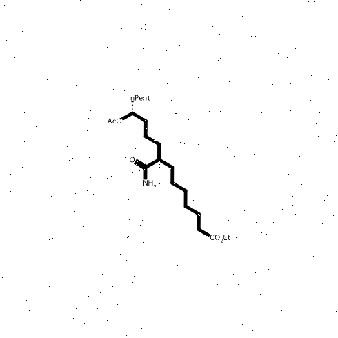 CCCCC[C@H](CCCC(CCCCCCC(=O)OCC)C(N)=O)OC(C)=O